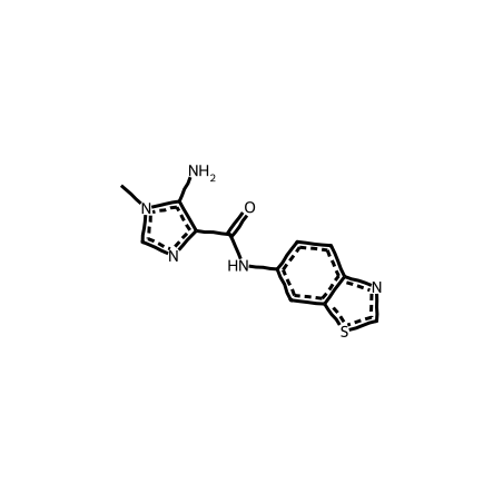 Cn1cnc(C(=O)Nc2ccc3ncsc3c2)c1N